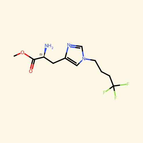 COC(=O)[C@@H](N)Cc1cn(CCCC(F)(F)F)cn1